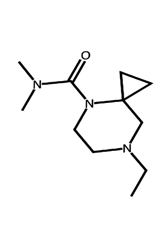 CCN1CCN(C(=O)N(C)C)C2(CC2)C1